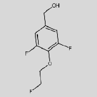 OCc1cc(F)c(OCCF)c(F)c1